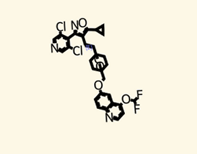 FC(F)Oc1ccnc2ccc(OCC34CCC(/C=C/c5c(-c6c(Cl)cncc6Cl)noc5C5CC5)(CC3)CO4)cc12